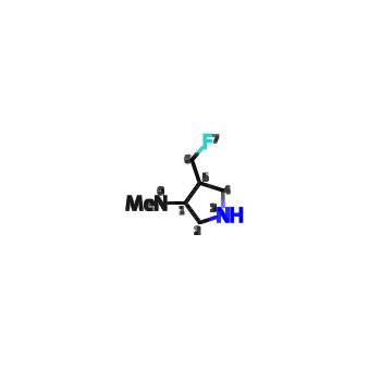 CNC1CNCC1CF